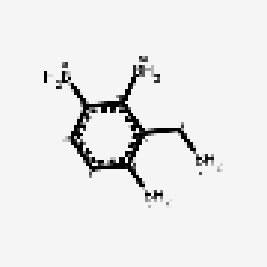 BCc1c(B)ccc(B)c1B